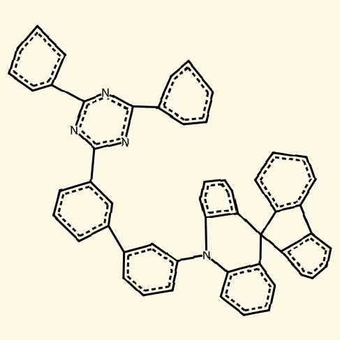 c1ccc(-c2nc(-c3ccccc3)nc(-c3cccc(-c4cccc(N5c6ccccc6C6(c7ccccc7-c7ccccc76)c6ccccc65)c4)c3)n2)cc1